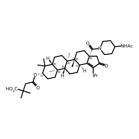 CC(=O)NC1CCN(C(=O)[C@@]23CC[C@]4(C)[C@H](CC[C@@H]5[C@@]6(C)CC[C@H](OC(=O)CC(C)(C)C(=O)O)C(C)(C)[C@@H]6CC[C@]54C)C2=C(C(C)C)C(=O)C3)CC1